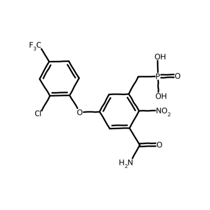 NC(=O)c1cc(Oc2ccc(C(F)(F)F)cc2Cl)cc(CP(=O)(O)O)c1[N+](=O)[O-]